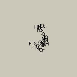 CCNc1ncc(-c2ccc(Oc3ncc(NC(=O)Nc4cc(C(F)(F)F)cnc4-c4ccc(C)c(C)c4)cn3)cc2)s1